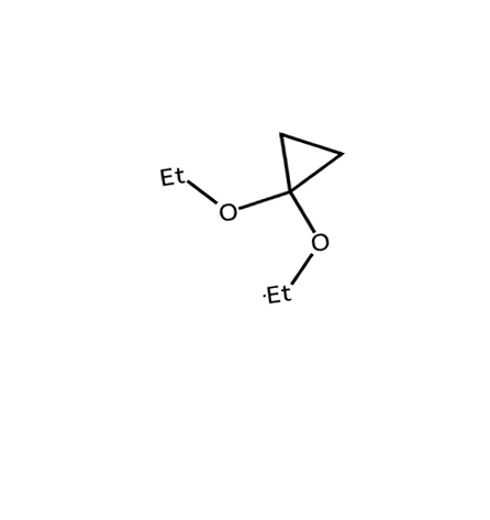 C[CH]OC1(OCC)CC1